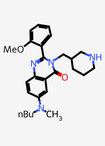 CCCCN(C)c1ccc2nc(-c3ccccc3OC)n(CC3CCCNC3)c(=O)c2c1